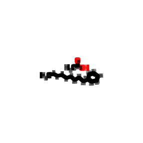 CC(=O)O.CCCCCCCCCc1ccccc1